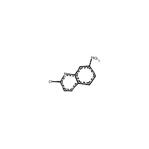 O=[N+]([O-])c1ccc2ccc(Cl)nc2c1